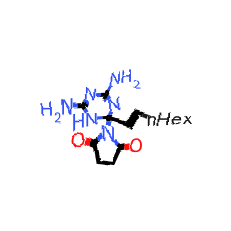 CCCCCCC=CC1(N2C(=O)CCC2=O)N=C(N)N=C(N)N1